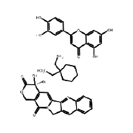 CC[C@@]1(O)C(=O)OCc2c1cc1n(c2=O)Cc2cc3ccccc3nc2-1.NCC1(CC(=O)O)CCCCC1.O=c1cc(-c2ccc(O)c(O)c2)oc2cc(O)cc(O)c12